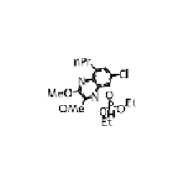 CCCc1cc(Cl)cc2nc(OC)c(OC)nc12.CCO[PH](=O)OCC